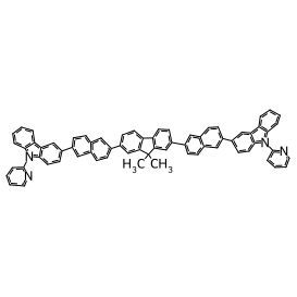 CC1(C)c2cc(-c3ccc4cc(-c5ccc6c(c5)c5ccccc5n6-c5ccccn5)ccc4c3)ccc2-c2ccc(-c3ccc4cc(-c5ccc6c(c5)c5ccccc5n6-c5ccccn5)ccc4c3)cc21